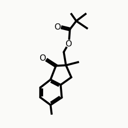 Cc1ccc2c(c1)CC(C)(COC(=O)C(C)(C)C)C2=O